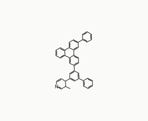 CC1C=NC=CC1c1cc(-c2ccccc2)cc(-c2ccc3c4cc(-c5ccccc5)ccc4c4ccccc4c3c2)c1